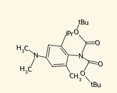 Cc1cc(N(C)C)cc(C(C)C)c1N(C(=O)OC(C)(C)C)C(=O)OC(C)(C)C